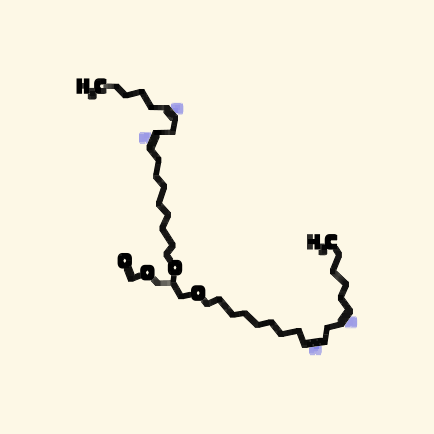 CCCCC/C=C\C/C=C\CCCCCCCCOCC(COC=O)OCCCCCCCC/C=C\C/C=C\CCCCC